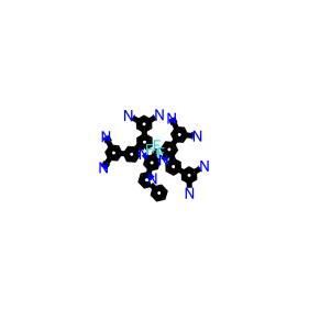 N#Cc1cc(C#N)cc(-c2ccc3c(c2)c2cc(-c4cc(C#N)cc(C#N)c4)ccc2n3-c2cc(-c3cccc(-c4ccccc4)n3)cc(-n3c4ccc(-c5cc(C#N)cc(C#N)c5)cc4c4cc(-c5cc(C#N)cc(C#N)c5)ccc43)c2C(F)(F)F)c1